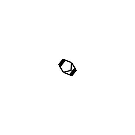 C1#CC2C#CC1C2